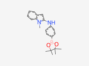 Cn1c(Nc2ccc(B3OC(C)(C)C(C)(C)O3)cc2)cc2ccccc21